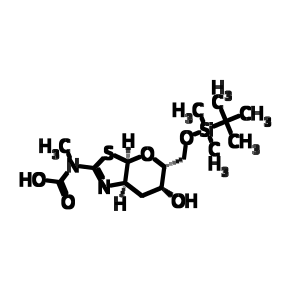 CN(C(=O)O)C1=N[C@@H]2C[C@H](O)[C@@H](CO[Si](C)(C)C(C)(C)C)O[C@@H]2S1